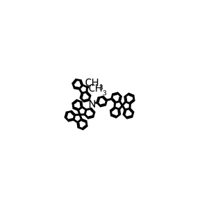 CC1(C)c2ccccc2-c2ccc(N(C3=CC=CC4C3c3ccccc3C43c4ccccc4-c4ccccc43)c3ccc(-c4cccc5c4-c4ccccc4C54c5ccccc5-c5ccccc54)cc3)cc21